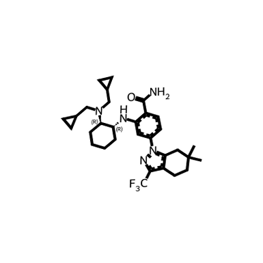 CC1(C)CCc2c(C(F)(F)F)nn(-c3ccc(C(N)=O)c(N[C@@H]4CCCC[C@H]4N(CC4CC4)CC4CC4)c3)c2C1